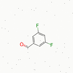 O=[C]c1cc(F)cc(F)c1